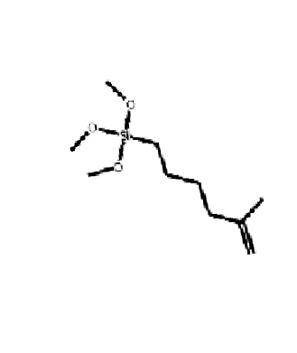 C=C(C)CCCC[Si](OC)(OC)OC